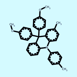 COc1ccc(C2(c3ccc(OC)cc3)c3ccccc3N(c3ccc(C)cc3)c3ccc(C)cc32)cc1